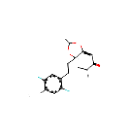 CC[C@H]1C[C@]2([C@@H](C)Cc3cc(F)c(OC)cc3F)OC(C)OC2=CC1=O